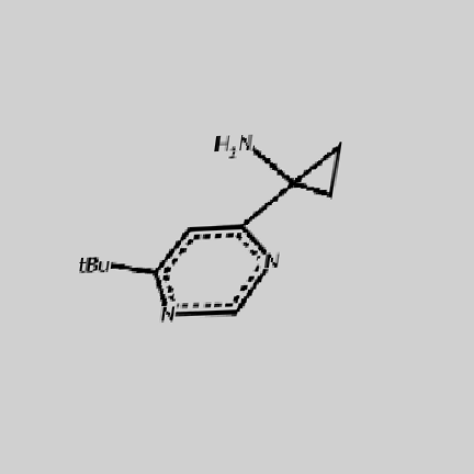 CC(C)(C)c1cc(C2(N)CC2)ncn1